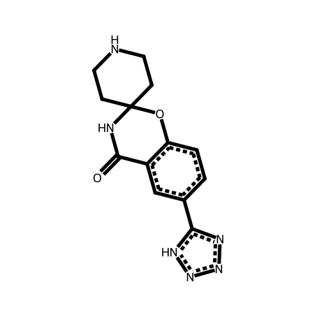 O=C1NC2(CCNCC2)Oc2ccc(-c3nnn[nH]3)cc21